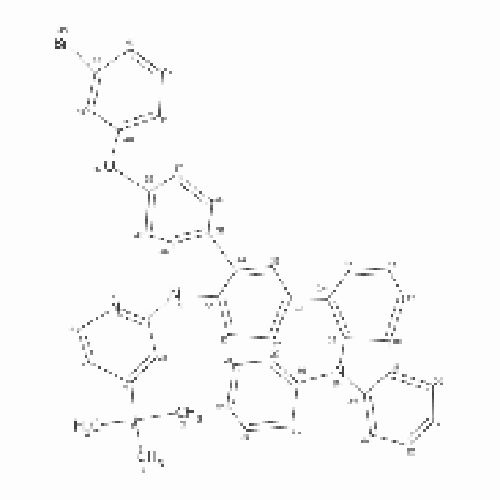 CC(C)(C)c1ccnc(-n2c3ccc(-c4cccc5c6ccccc6n(-c6ccccc6)c45)cc3c3ccc(Oc4cccc(Br)c4)cc32)c1